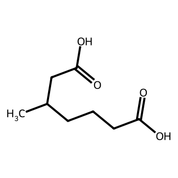 CC(CCCC(=O)O)CC(=O)O